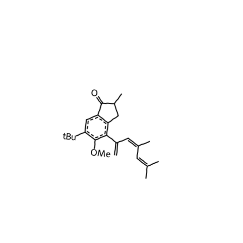 C=C(/C=C(/C)C=C(C)C)c1c2c(cc(C(C)(C)C)c1OC)C(=O)C(C)C2